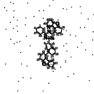 c1ccc(-c2nc(-c3ccc4c(-c5cccc6oc7ccccc7c56)cccc4c3)nc(-c3cccc4oc5cccnc5c34)n2)cc1